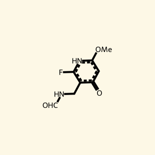 COc1cc(=O)c(CNC=O)c(F)[nH]1